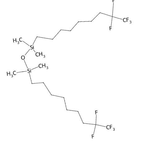 C[Si](C)(CCCCCCCC(F)(F)C(F)(F)F)O[Si](C)(C)CCCCCCCC(F)(F)C(F)(F)F